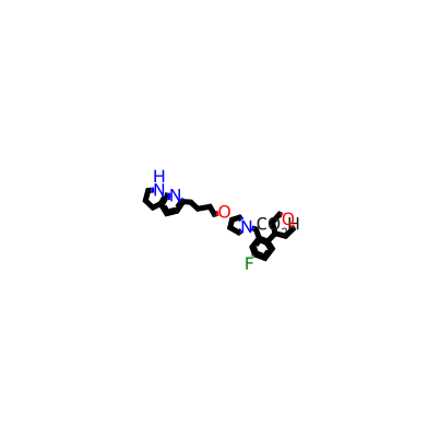 O=C(O)[C@@H](c1cc(F)ccc1C1CCOCC1)N1CC[C@@H](OCCCCc2ccc3c(n2)NCCC3)C1